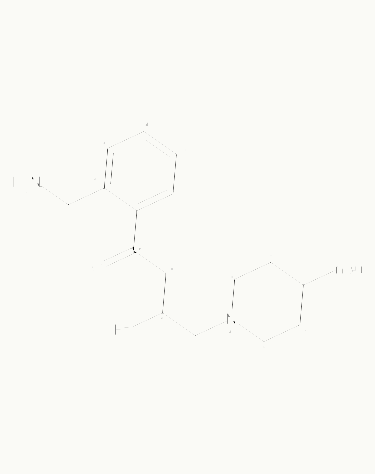 CCCCC1CCN(CC(CC)CC(=O)c2ccccc2CN)CC1